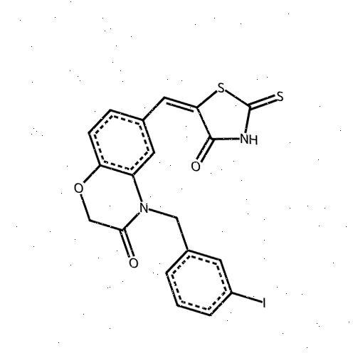 O=C1NC(=S)SC1=Cc1ccc2c(c1)N(Cc1cccc(I)c1)C(=O)CO2